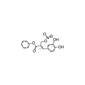 O=C(Oc1ccccc1)/C(=C/c1ccc(O)c(O)c1)CO[N+](=O)[O-]